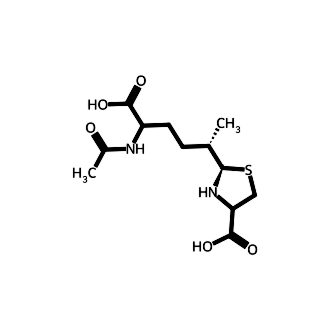 CC(=O)NC(CC[C@H](C)[C@@H]1NC(C(=O)O)CS1)C(=O)O